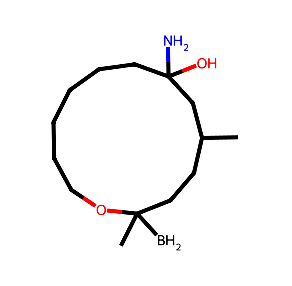 BC1(C)CCC(C)CC(N)(O)CCCCCCO1